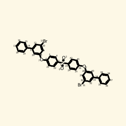 O=S(=O)(c1ccc(Oc2cc(Br)cc(-c3ccccc3)c2)cc1)c1ccc(Oc2cc(Br)cc(-c3ccccc3)c2)cc1